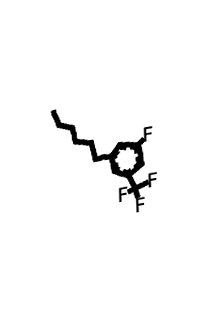 CCCCCCc1cc(F)cc(C(F)(F)F)c1